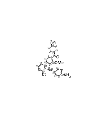 CCCN1CCN(C(=O)c2ccc(-c3ccnc(CC)c3C#Cc3ccc(N)nc3)cc2OC)CC1